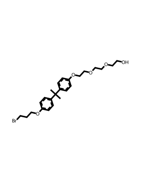 CC(C)(c1ccc(OCCCBr)cc1)c1ccc(OCCOCCOCCO)cc1